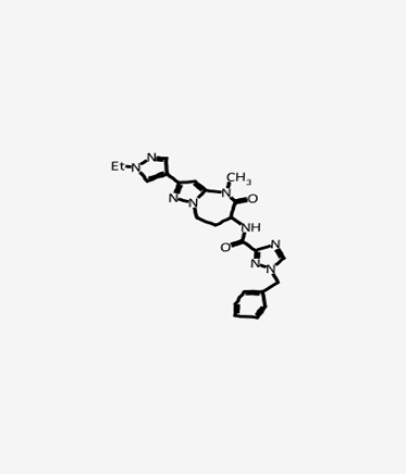 CCn1cc(-c2cc3n(n2)CCC(NC(=O)c2ncn(Cc4ccccc4)n2)C(=O)N3C)cn1